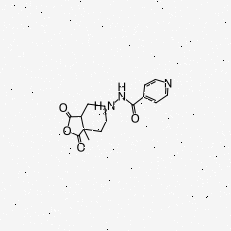 CC12CCCCC1C(=O)OC2=O.NNC(=O)c1ccncc1